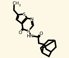 CCc1cc2c(=O)n(NC(=O)CC34CC5CC(CC(C5)C3)C4)cnc2s1